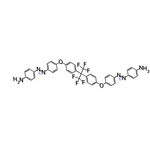 Nc1ccc(/N=N/c2ccc(Oc3ccc(C(c4ccc(Oc5ccc(/N=N/c6ccc(N)cc6)cc5)cc4)(C(F)(F)F)C(F)(F)F)cc3)cc2)cc1